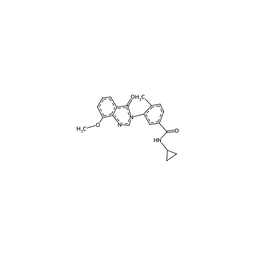 COc1cccc2c(=O)n(-c3cc(C(=O)NC4CC4)ccc3C)cnc12